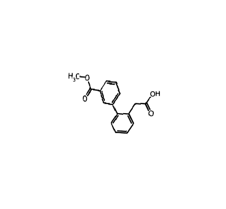 COC(=O)c1cccc(-c2ccccc2CC(=O)O)c1